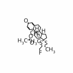 CCS[C@@]1(SCCF)CC[C@H]2[C@@H]3CCC4=CC(=O)C=C[C@]4(C)C3(F)[C@@H](OC(C)=O)C[C@@]21C